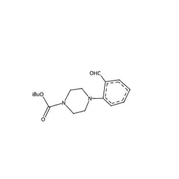 CC(C)COC(=O)N1CCN(c2ccccc2C=O)CC1